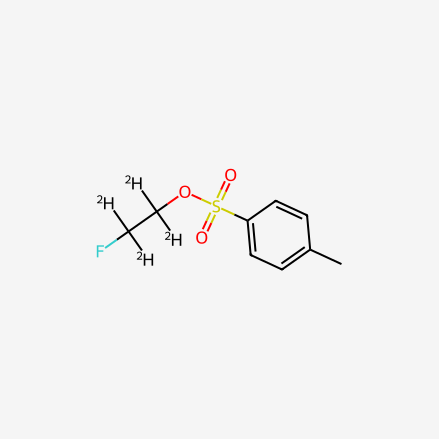 [2H]C([2H])(F)C([2H])([2H])OS(=O)(=O)c1ccc(C)cc1